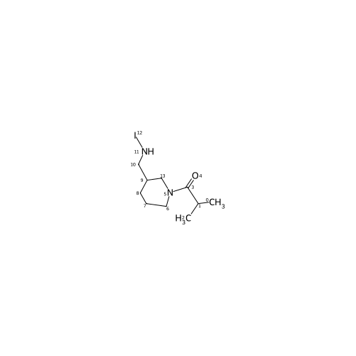 CC(C)C(=O)N1CCCC(CNI)C1